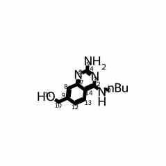 CCCCNc1nc(N)nc2cc(CO)ccc12